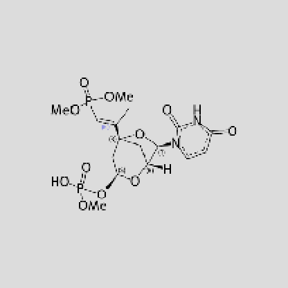 COP(=O)(O)O[C@H]1C[C@@]2(/C(C)=C/P(=O)(OC)OC)C[C@@H](O1)[C@H](n1ccc(=O)[nH]c1=O)O2